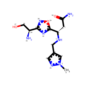 Cn1cc(CN[C@@H](CC(N)=O)c2nc([C@@H](N)CO)no2)cn1